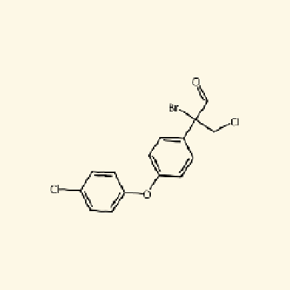 O=CC(Br)(CCl)c1ccc(Oc2ccc(Cl)cc2)cc1